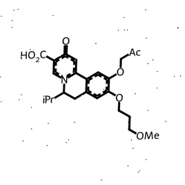 COCCCOc1cc2c(cc1OCC(C)=O)-c1cc(=O)c(C(=O)O)cn1C(C(C)C)C2